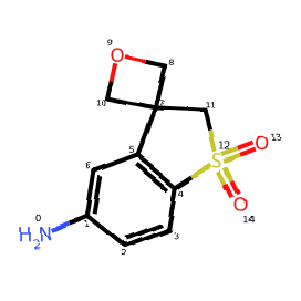 Nc1ccc2c(c1)C1(COC1)CS2(=O)=O